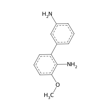 COc1cccc(-c2cccc(N)c2)c1N